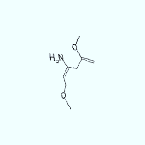 C=C(C/C(N)=C\COC)OC